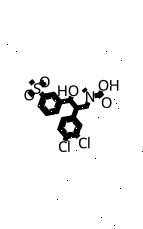 CN(CC(c1ccc(Cl)c(Cl)c1)C(O)c1cccc(S(C)(=O)=O)c1)C(=O)O